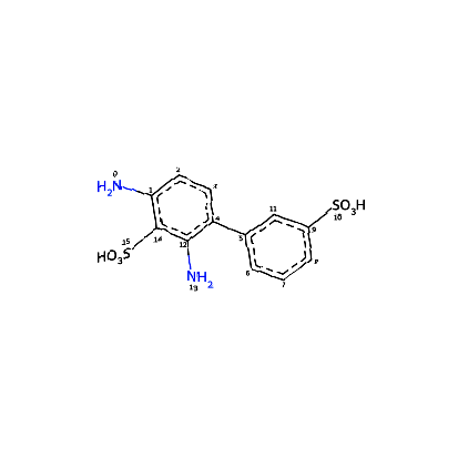 Nc1ccc(-c2cccc(S(=O)(=O)O)c2)c(N)c1S(=O)(=O)O